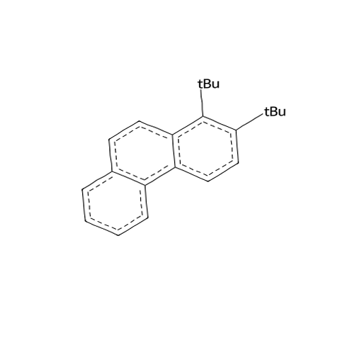 CC(C)(C)c1ccc2c(ccc3ccccc32)c1C(C)(C)C